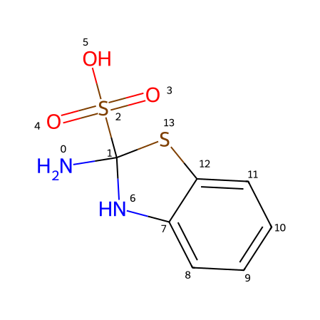 NC1(S(=O)(=O)O)Nc2ccccc2S1